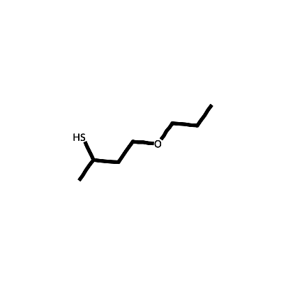 CCCOCCC(C)S